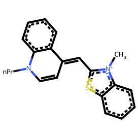 CCCN1C=C/C(=C\c2sc3ccccc3[n+]2C)c2ccccc21